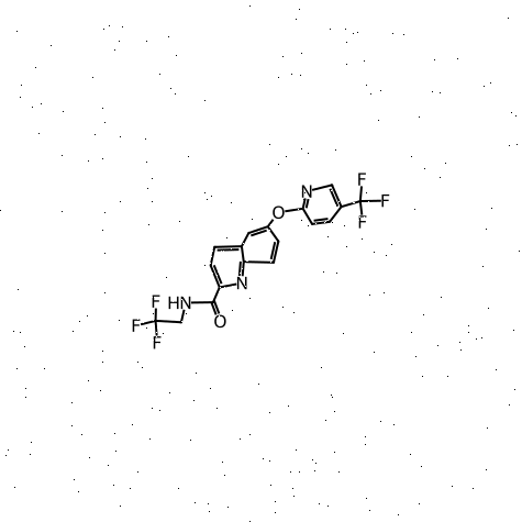 O=C(NCC(F)(F)F)c1ccc2cc(Oc3ccc(C(F)(F)F)cn3)ccc2n1